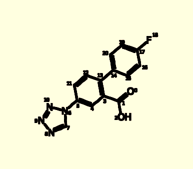 O=C(O)c1cc(-n2cnnn2)ccc1-c1ccc(F)cc1